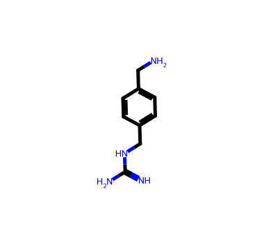 N=C(N)NCc1ccc(CN)cc1